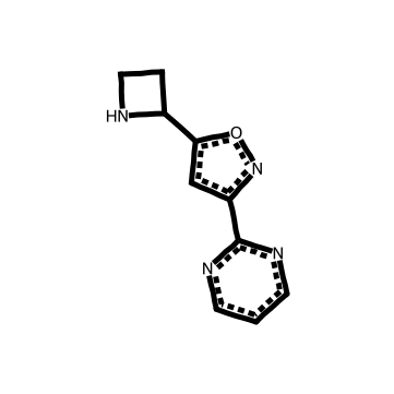 c1cnc(-c2cc(C3CCN3)on2)nc1